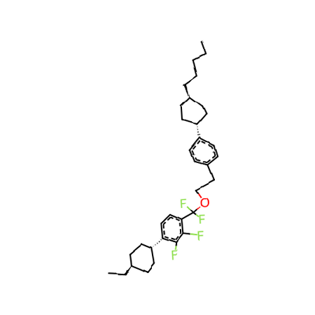 CCCCC[C@H]1CC[C@H](c2ccc(CCOC(F)(F)c3ccc([C@H]4CC[C@H](CC)CC4)c(F)c3F)cc2)CC1